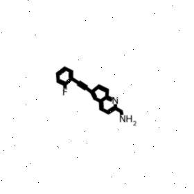 NCc1ccc2cc(C#Cc3ccccc3F)ccc2n1